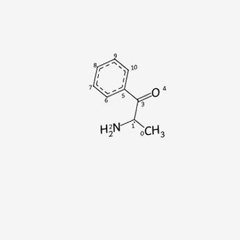 C[C](N)C(=O)c1ccccc1